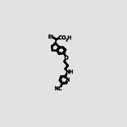 CCC(C(=O)O)[C@@H]1CCc2cc(OCCCNc3ccc(C#N)cn3)ccc21